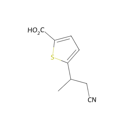 CC(CC#N)c1ccc(C(=O)O)s1